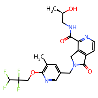 Cc1cc(CN2Cc3c(ccnc3C(=O)NC[C@@H](C)O)C2=O)cnc1OCC(F)(F)C(F)F